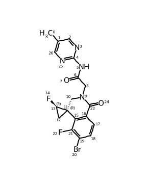 Cc1cnc(NC(=O)CN2C[C@@]3(C[C@H]3F)c3c(ccc(Br)c3F)C2=O)nc1